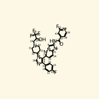 O=C(Nc1cn2nc(-c3c(-c4ccc(F)cc4)ncn3C3CCN(CC(O)C(F)(F)F)CC3)ccc2n1)c1ccnc(F)c1